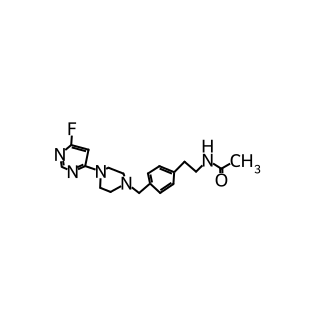 CC(=O)NCCc1ccc(CN2CCN(c3cc(F)ncn3)CC2)cc1